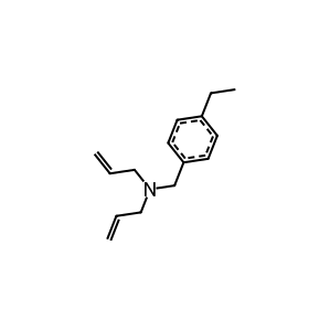 C=CCN(CC=C)Cc1ccc(CC)cc1